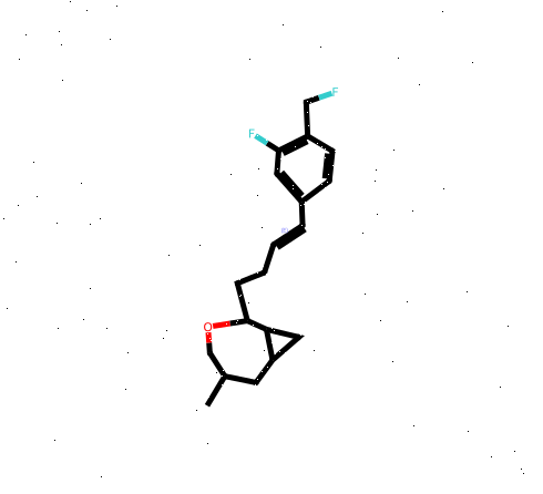 CC1COC(CC/C=C/c2ccc(CF)c(F)c2)C2CC2C1